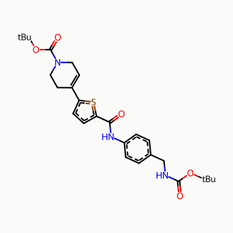 CC(C)(C)OC(=O)NCc1ccc(NC(=O)c2ccc(C3=CCN(C(=O)OC(C)(C)C)CC3)s2)cc1